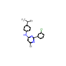 CCc1cc(Nc2ccc(C(CC)C(F)(F)F)cc2)nc(-c2cccc(Cl)c2)n1